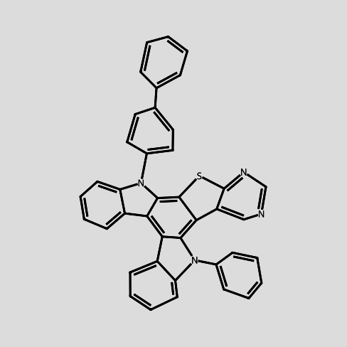 c1ccc(-c2ccc(-n3c4ccccc4c4c5c6ccccc6n(-c6ccccc6)c5c5c6cncnc6sc5c43)cc2)cc1